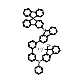 CC1(C)c2ccccc2-c2ccc(N(c3ccccc3)c3cccc(-c4cccc(-c5ccc6c7ccccc7n(-c7ccc8c(c7)-c7ccccc7C87c8ccccc8-c8ccccc87)c6c5)c4)c3)cc21